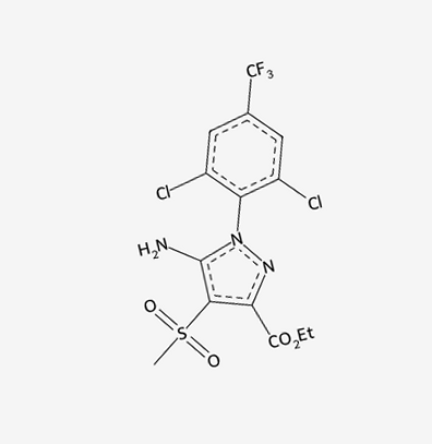 CCOC(=O)c1nn(-c2c(Cl)cc(C(F)(F)F)cc2Cl)c(N)c1S(C)(=O)=O